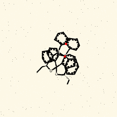 CC[C@@H]1OC2(O[C@@H](CC)c3cccc(P(c4ccccc4)c4ccccc4)c32)c2c1cccc2P(c1ccccc1)c1ccccc1